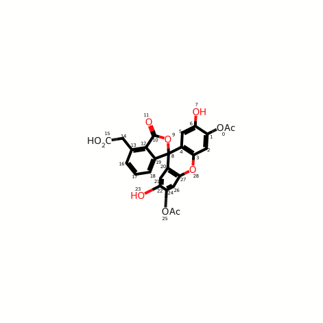 CC(=O)Oc1cc2c(cc1O)C1(OC(=O)c3c(CC(=O)O)cccc31)c1cc(O)c(OC(C)=O)cc1O2